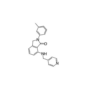 CC1=C=C=CC(N2Cc3cccc(NCc4ccncc4)c3C2=O)=C1